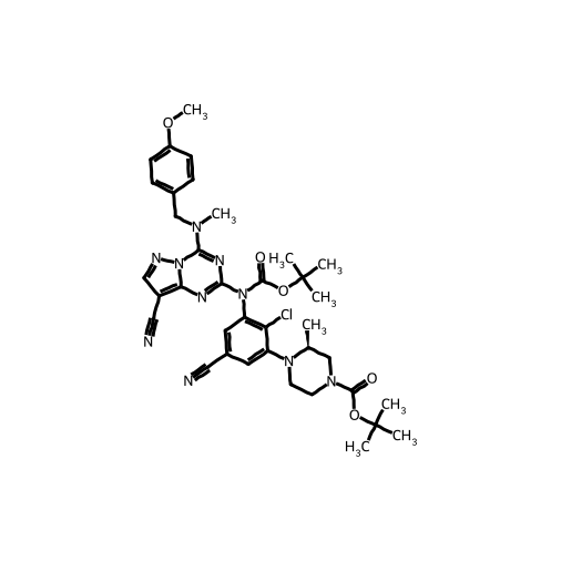 COc1ccc(CN(C)c2nc(N(C(=O)OC(C)(C)C)c3cc(C#N)cc(N4CCN(C(=O)OC(C)(C)C)C[C@@H]4C)c3Cl)nc3c(C#N)cnn23)cc1